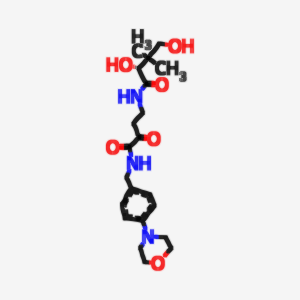 CC(C)(CO)[C@@H](O)C(=O)NCCC(=O)C(=O)NCc1ccc(N2CCOCC2)cc1